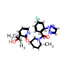 C[C@@H]1CC[C@@H](Oc2ncccc2C(C)(C)O)CN1C(=O)c1ccc(F)cc1-n1nccn1